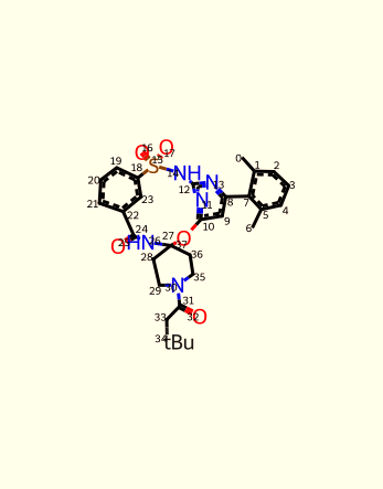 Cc1cccc(C)c1-c1cc2nc(n1)NS(=O)(=O)c1cccc(c1)C(=O)NC1(CCN(C(=O)CC(C)(C)C)CC1)O2